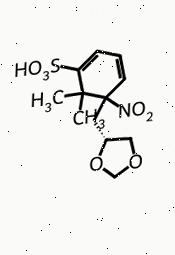 CC1(C)C(S(=O)(=O)O)=CC=CC1(C[C@@H]1COCO1)[N+](=O)[O-]